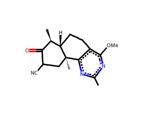 COc1nc(C)nc2c1CC[C@H]1[C@H](C)C(=O)C(C#N)C[C@]21C